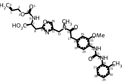 C=CCOC(=O)NC(Cc1nc(CN(C)C(=O)Cc2ccc(NC(=O)Nc3ccccc3C)c(OC)c2)co1)C(=O)O